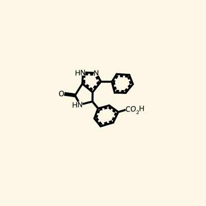 O=C(O)c1cccc(C2NC(=O)c3[nH]nc(-c4ccccc4)c32)c1